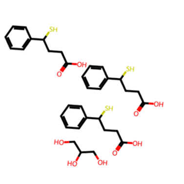 O=C(O)CCC(S)c1ccccc1.O=C(O)CCC(S)c1ccccc1.O=C(O)CCC(S)c1ccccc1.OCC(O)CO